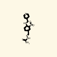 NC(=S)NN=Cc1ccc(NCc2ccncc2)c([N+](=O)[O-])c1